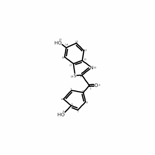 O=C(c1ccc(O)cc1)c1nc2ccc(O)cc2s1